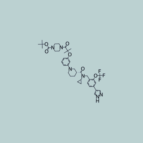 CC(C)(C)OC(=O)N1CCN(C(=O)C(C)(C)Oc2cccc(N3CCC[C@@H](C(=O)N(Cc4ccc(-c5cn[nH]c5)cc4OC(F)(F)F)C4CC4)C3)c2)CC1